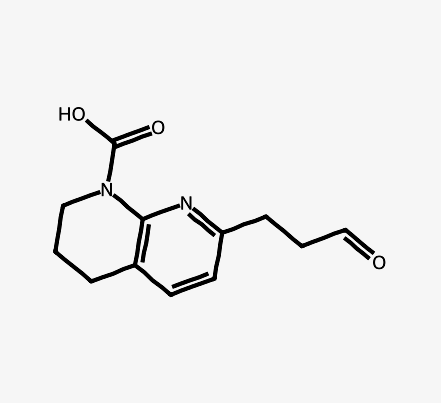 O=CCCc1ccc2c(n1)N(C(=O)O)CCC2